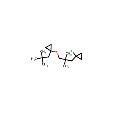 CC(C)(C)CC1(OCC(C)(C)CC2(F)CC2)CC1